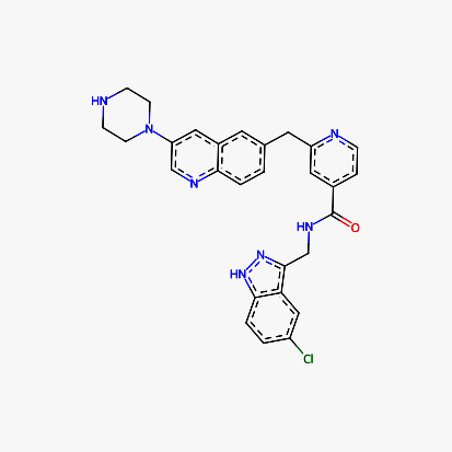 O=C(NCc1n[nH]c2ccc(Cl)cc12)c1ccnc(Cc2ccc3ncc(N4CCNCC4)cc3c2)c1